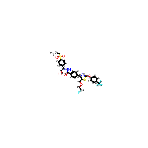 CCS(=O)(=O)c1ccc([C@H](CO)NC(=O)c2ccc(-c3nc(Oc4ccc(C(F)(F)F)cc4)sc3COCCF)cc2)cc1